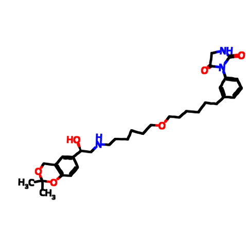 CC1(C)OCc2cc([C@@H](O)CNCCCCCCOCCCCCCc3cccc(N4C(=O)CNC4=O)c3)ccc2O1